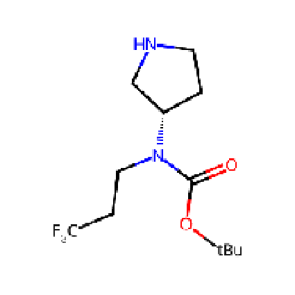 CC(C)(C)OC(=O)N(CCC(F)(F)F)[C@H]1CCNC1